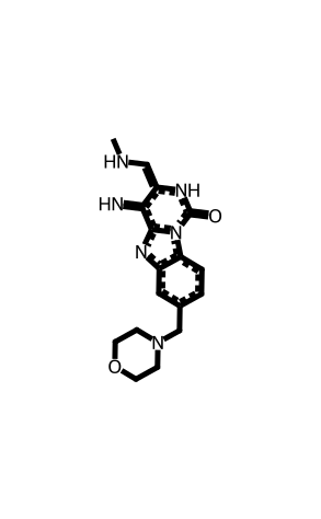 CN/C=c1/[nH]c(=O)n2c(nc3cc(CN4CCOCC4)ccc32)c1=N